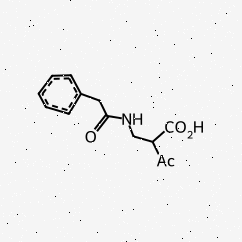 CC(=O)C(CNC(=O)Cc1ccccc1)C(=O)O